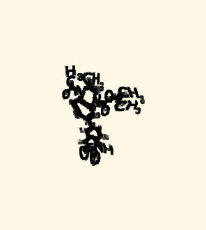 CC(=O)N1c2ccc(-c3ccc4c(c3)CS(=O)(=O)N4)cc2N(C(=O)OC(C)C)C[C@@H]1C